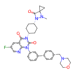 CN1N([C@H]2CC[C@@H](n3c(=O)c4cc(F)cnc4n(-c4cccc(-c5ccc(CN6CCOCC6)cc5)c4)c3=O)CC2)C(=O)C12CC2